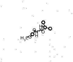 CCOc1ccc(C(=O)NCCNC(=O)c2cc(-c3ccccc3)cc(-c3ccccc3)n2)cc1